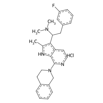 Cc1[nH]c2c(N3CCc4ccccc4C3)nccc2c1C(Cc1cccc(F)c1)N(C)C.Cl